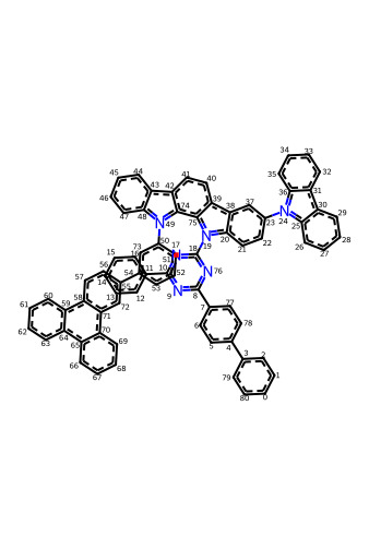 c1ccc(-c2ccc(-c3nc(-c4ccccc4)nc(-n4c5ccc(-n6c7ccccc7c7ccccc76)cc5c5ccc6c7ccccc7n(-c7cccc(-c8ccc9c%10ccccc%10c%10ccccc%10c9c8)c7)c6c54)n3)cc2)cc1